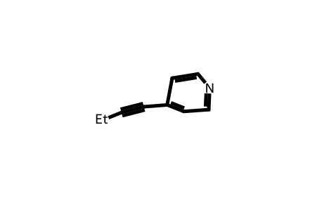 CCC#Cc1ccncc1